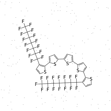 FC(F)(F)C(F)(F)C(F)(F)C(F)(F)C(F)(F)C(F)(F)C(F)(F)c1ccsc1-c1ccc(-c2ccc(-c3ccc(-c4sccc4C(F)(F)C(F)(F)C(F)(F)C(F)(F)C(F)(F)C(F)(F)C(F)(F)F)s3)s2)s1